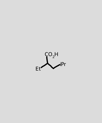 [CH2]C(C)CC(CC)C(=O)O